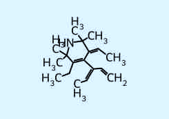 C=C/C(=C/C)C1=C(CC)C(C)(C)NC(C)(C)/C1=C/C